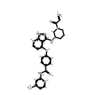 C=CC(=O)N1CCC[C@@H](Nc2n[nH]c3nccc(Oc4ccc(C(=O)Nc5cc(C(F)(F)F)ccn5)cc4)c23)C1